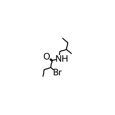 CCC(C)CNC(=O)C(Br)CC